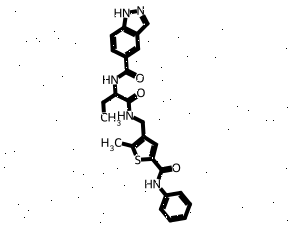 CCC(NC(=O)c1ccc2[nH]ncc2c1)C(=O)NCc1cc(C(=O)Nc2ccccc2)sc1C